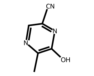 Cc1ncc(C#N)nc1O